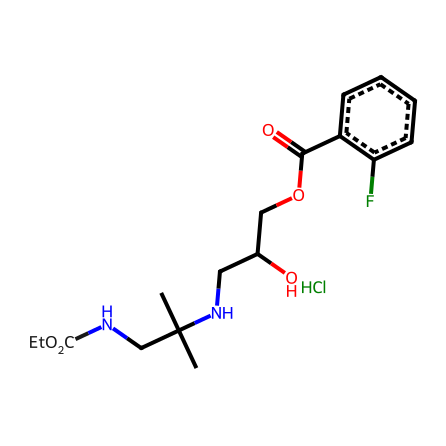 CCOC(=O)NCC(C)(C)NCC(O)COC(=O)c1ccccc1F.Cl